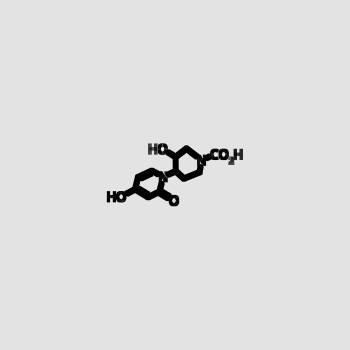 O=C(O)N1CCC(n2ccc(O)cc2=O)C(O)C1